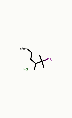 CCCCCCCC(C)C(C)(C)P.Cl